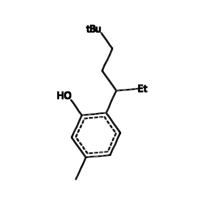 CCC(CCC(C)(C)C)c1ccc(C)cc1O